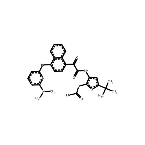 CN(C)c1nccc(Nc2ccc(C(=O)C(=O)Nc3cc(C(C)(C)C)sc3OC(N)=O)c3ccccc23)n1